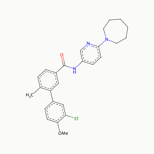 COc1ccc(-c2cc(C(=O)Nc3ccc(N4CCCCCC4)nc3)ccc2C)cc1Cl